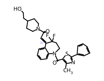 Cc1nc(-c2ccccc2)sc1C(=O)N1CCC(F)(F)/C(=C\C(=O)N2CCC(CCO)CC2)c2ccccc21